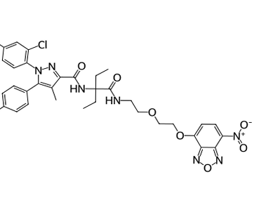 CCC(CC)(NC(=O)c1nn(-c2ccc(Cl)cc2Cl)c(-c2ccc(Cl)cc2)c1C)C(=O)NCCOCCOc1ccc([N+](=O)[O-])c2nonc12